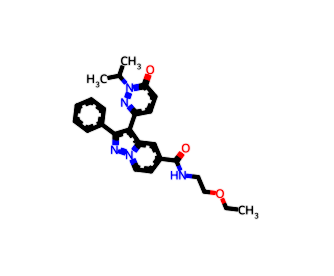 CCOCCNC(=O)c1ccn2nc(-c3ccccc3)c(-c3ccc(=O)n(C(C)C)n3)c2c1